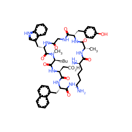 CCCC[C@@H](C(=O)N[C@@H](CC(=O)O)C(=O)N[C@@H](Cc1cccc2ccccc12)C(N)=O)N(C)C(=O)[C@H](Cc1c[nH]c2ccccc12)NC(=O)CNC(=O)[C@H](Cc1ccc(O)cc1)NC(=O)[C@H](C)NC(=O)[C@H](N)CCCCN